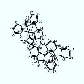 CC1(C)c2ccccc2-c2c(N(c3ccc4c(c3)C3(c5ccccc5Oc5ccccc53)c3cccc5cccc-4c35)c3ccc4c5ccccc5n(-c5ccccc5)c4c3)cccc21